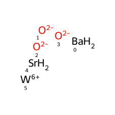 [BaH2].[O-2].[O-2].[O-2].[SrH2].[W+6]